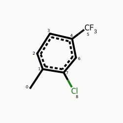 Cc1ccc(C(F)(F)F)cc1Cl